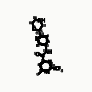 Cc1cc(C(=O)Nc2ccc([C@@H]3CNCCO3)nc2)nc(C(F)(F)F)n1